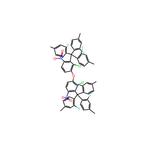 Cc1ccc(C(c2ccc(C)cc2F)(c2ccc(C)cc2F)c2c([N+](=O)[O-])ccc(Oc3ccc([N+](=O)[O-])c(C(c4ccc(C)cc4F)(c4ccc(C)cc4F)c4ccc(C)cc4F)c3Cl)c2Cl)c(F)c1